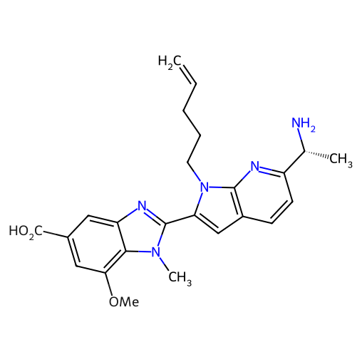 C=CCCCn1c(-c2nc3cc(C(=O)O)cc(OC)c3n2C)cc2ccc([C@@H](C)N)nc21